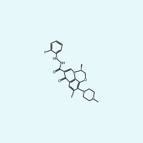 C[C@H]1COc2c(N3CCN(C)CC3)c(F)cc3c(=O)c(C(=O)NNc4ccccc4F)cn1c23